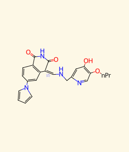 CCCOc1cnc(CN/C=C2\C(=O)NC(=O)c3ccc(-n4cccc4)cc32)cc1O